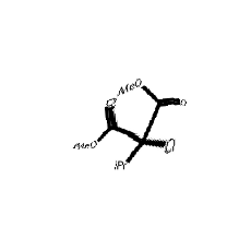 COC(=O)C(Cl)(C(=O)OC)C(C)C